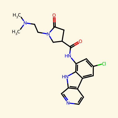 CN(C)CCN1CC(C(=O)Nc2cc(Cl)cc3c2[nH]c2cnccc23)CC1=O